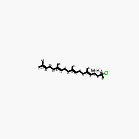 COC(C)(Cl)CC/C=C(\C)CC/C=C(\C)CC/C=C(\C)CCC=C(C)C